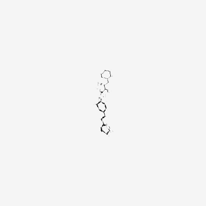 N[C@H](CC1CCCCC1)C(O)C(=O)NNc1ccc(/C=C/c2ccccn2)cc1